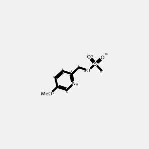 COc1ccc(COS(C)(=O)=O)nc1